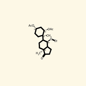 CCO[C@H]1C2CCC(=O)[C@@]2(C)CCC1[C@@]1(C)CC[C@H](OC(C)=O)C[C@@H]1OC(C)=O